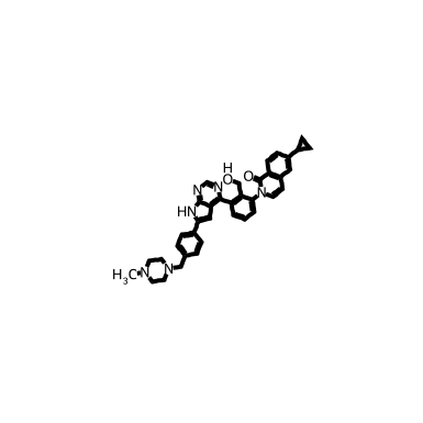 CN1CCN(Cc2ccc(-c3cc4c(-c5cccc(-n6ccc7cc(C8CC8)ccc7c6=O)c5CO)ncnc4[nH]3)cc2)CC1